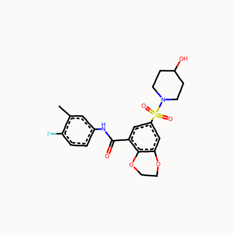 Cc1cc(NC(=O)c2cc(S(=O)(=O)N3CCC(O)CC3)cc3c2OCCO3)ccc1F